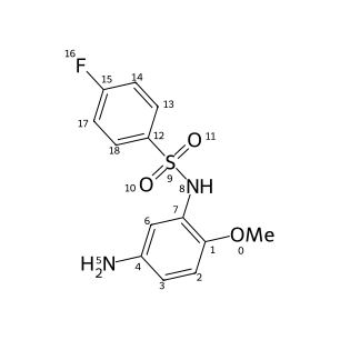 COc1ccc(N)cc1NS(=O)(=O)c1ccc(F)cc1